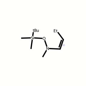 CC/C=C\N(C)O[Si](C)(C)C(C)(C)C